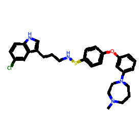 CN1CCCN(c2cccc(Oc3ccc(SNCCCc4c[nH]c5ccc(Cl)cc45)cc3)c2)CC1